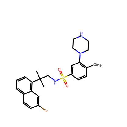 COc1ccc(S(=O)(=O)NCC(C)(C)c2cccc3ccc(Br)cc23)cc1N1CCNCC1